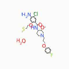 CO[C@@H]1CN(CCCOc2ccc(F)cc2)CC[C@@H]1NC(=O)c1cc(Cl)c(N)cc1OCCSC.O